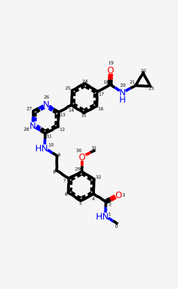 CNC(=O)c1ccc(CCNc2cc(-c3ccc(C(=O)NC4CC4)cc3)ncn2)c(OC)c1